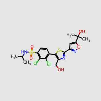 CC(NS(=O)(=O)c1ccc(-c2sc(-c3cc(C(C)(C)O)on3)nc2CO)c(Cl)c1Cl)C(F)(F)F